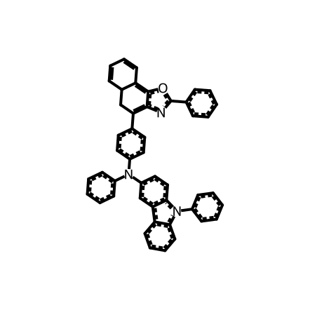 C1=CC2=c3oc(-c4ccccc4)nc3=C(c3ccc(N(c4ccccc4)c4ccc5c(c4)c4ccccc4n5-c4ccccc4)cc3)CC2C=C1